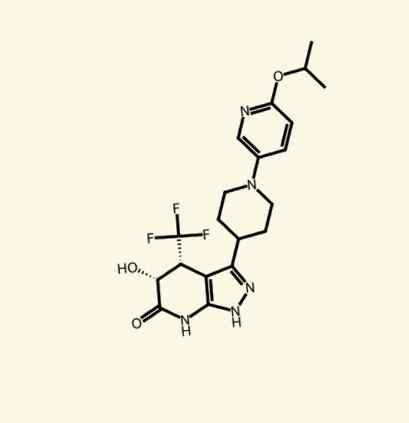 CC(C)Oc1ccc(N2CCC(c3n[nH]c4c3[C@@H](C(F)(F)F)[C@@H](O)C(=O)N4)CC2)cn1